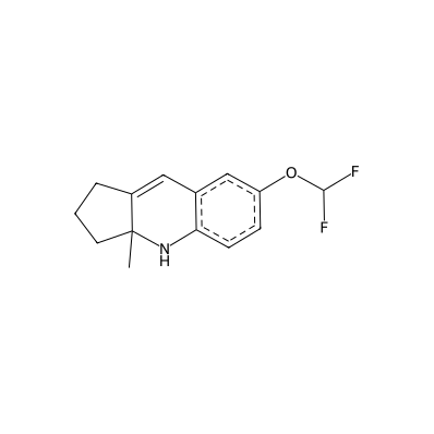 CC12CCCC1=Cc1cc(OC(F)F)ccc1N2